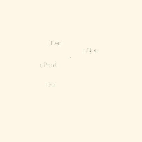 CCCCCCCCCC(CCCCC)(CCCCC)c1ccccc1O